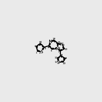 c1csc(-c2cn3c(-c4ccsc4)cnc3cn2)c1